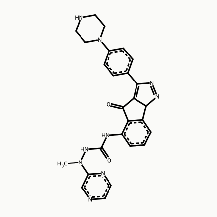 CN(NC(=O)Nc1cccc2c1C(=O)C1=C(c3ccc(N4CCNCC4)cc3)N=NC12)c1cnccn1